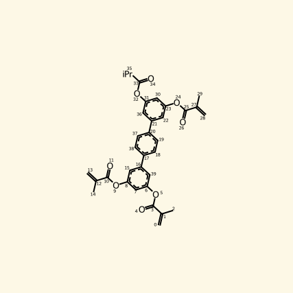 C=C(C)C(=O)Oc1cc(OC(=O)C(=C)C)cc(-c2ccc(-c3cc(OC(=O)C(=C)C)cc(OC(=O)C(C)C)c3)cc2)c1